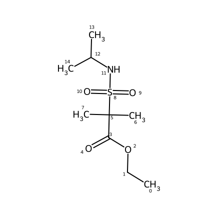 CCOC(=O)C(C)(C)S(=O)(=O)NC(C)C